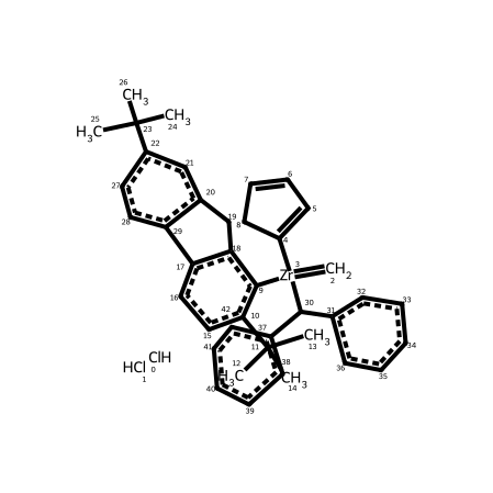 Cl.Cl.[CH2]=[Zr]([C]1=CC=CC1)([c]1c(C(C)(C)C)ccc2c1Cc1cc(C(C)(C)C)ccc1-2)[CH](c1ccccc1)c1ccccc1